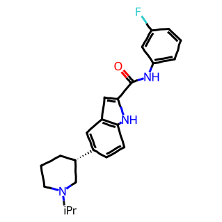 CC(C)N1CCC[C@H](c2ccc3[nH]c(C(=O)Nc4cccc(F)c4)cc3c2)C1